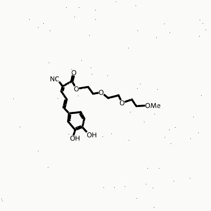 COCCOCCOCCOC(=O)C(C#N)=CC=Cc1ccc(O)c(O)c1